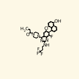 C=CC(=O)N1CCN(c2nc(NCCC(F)(F)F)nc3c(F)c(-c4cccc5c(O)cccc45)c(Cl)cc23)CC1